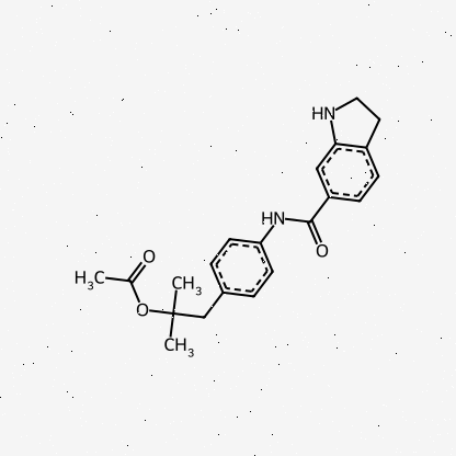 CC(=O)OC(C)(C)Cc1ccc(NC(=O)c2ccc3c(c2)NCC3)cc1